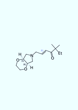 CCC(C)(C)C(=O)/C=C/CN1C[C@@H]2OCCO[C@@H]2C1